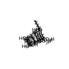 CC(C)CCCCCC(=O)O.CC(C)CCCCCC(=O)O.CC(C)CCCCCC(=O)O.CCCCCCC(=O)O.CCCCCCC(=O)O.CCCCCCC(=O)O.OCC(CO)(CO)COCC(CO)(CO)CO